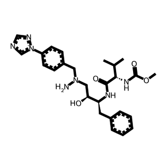 COC(=O)N[C@H](C(=O)N[C@@H](Cc1ccccc1)[C@@H](O)CN(N)Cc1ccc(-n2cncn2)cc1)C(C)C